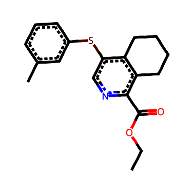 CCOC(=O)c1ncc(Sc2cccc(C)c2)c2c1CCCC2